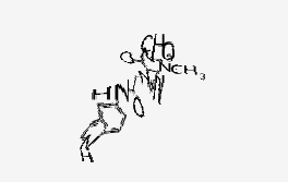 Cn1c(=O)c2c(ncn2CC(=O)Nc2ccc3[nH]ccc3c2)n(C)c1=O